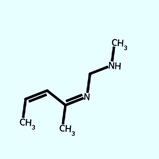 C/C=C\C(C)=N/CNC